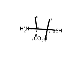 CC(C)(S)[C@](C)(N)C(=O)O